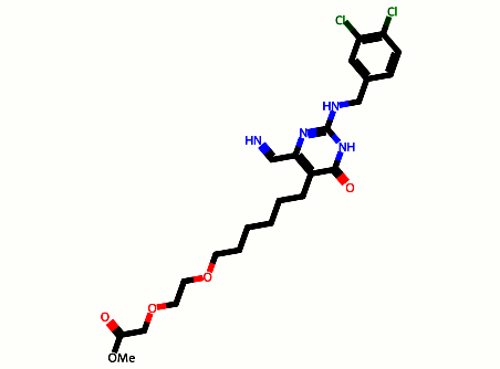 COC(=O)COCCOCCCCCCc1c(C=N)nc(NCc2ccc(Cl)c(Cl)c2)[nH]c1=O